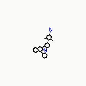 Cc1cc(C#N)cc(C)c1-c1ccc2c(c1)c1cc3ccccc3c3c4ccccc4n2c13